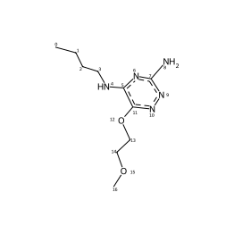 CCCCNc1nc(N)nnc1OCCOC